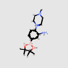 CN1CCN(c2ccc(B3OC(C)(C)C(C)(C)O3)cc2N)CC1